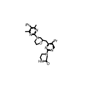 Cc1nc(N2CCOC(Cc3nc(N4CCNC(=O)C4)ncc3C(C)C)C2)nc(C)c1C(C)C